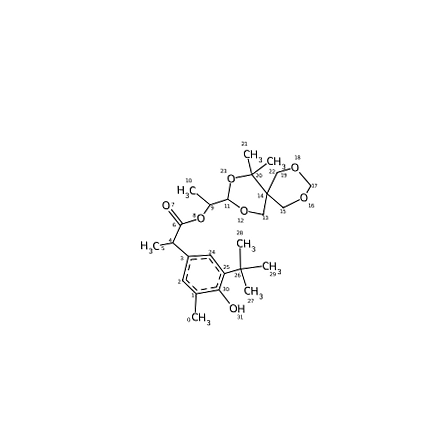 Cc1cc(C(C)C(=O)OC(C)C2OCC3(COCOC3)C(C)(C)O2)cc(C(C)(C)C)c1O